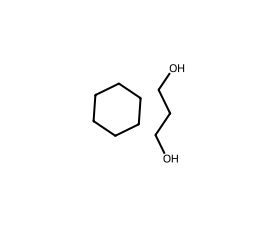 C1CCCCC1.OCCCO